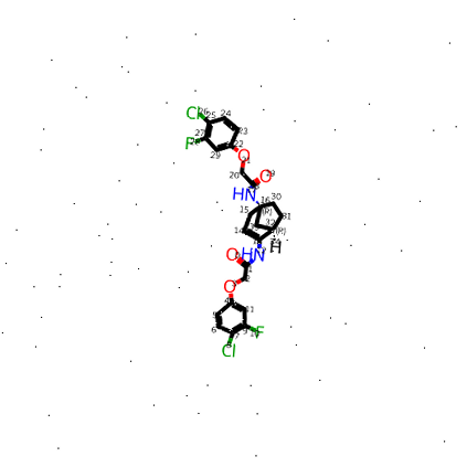 O=C(COc1ccc(Cl)c(F)c1)NC1=CC[C@@]2(NC(=O)COc3ccc(Cl)c(F)c3)CC[C@@H]1C2